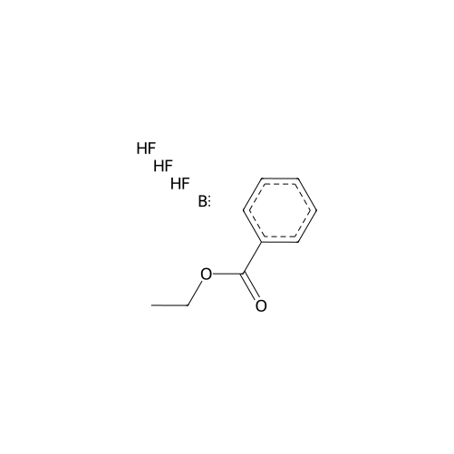 CCOC(=O)c1ccccc1.F.F.F.[B]